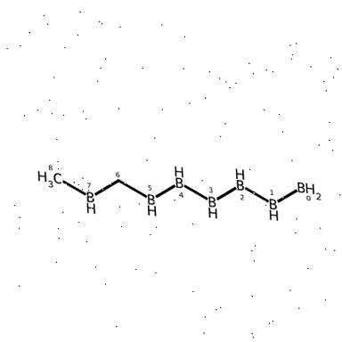 BBBBBBCBC